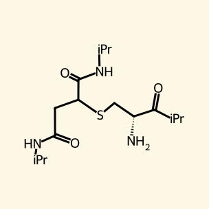 CC(C)NC(=O)CC(SC[C@@H](N)C(=O)C(C)C)C(=O)NC(C)C